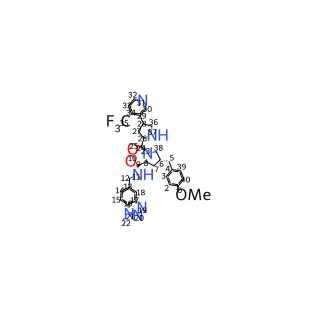 COc1ccc(C[C@@H]2C[C@@H](C(=O)NCc3ccc4c(c3)nnn4C)N(C(=O)[C@H]3CC(c4cnccc4C(F)(F)F)CN3)C2)cc1